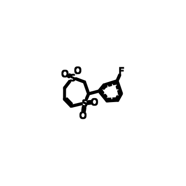 O=S1(=O)CC=CS(=O)(=O)C(c2cccc(F)c2)C1